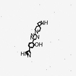 Oc1cc(-c2cn[nH]c2)ccc1-c1cnc(N2CCC3(CCNC3)CC2)nn1